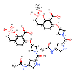 CC(=O)N[C@@H]1CN[C@H](C(=O)N2CC(Oc3ccc4c(c3C(=O)O)O[B-](O)(O)CC4)C2)C1.CC(=O)N[C@@H]1CN[C@H](C(=O)N2CC(Oc3ccc4c(c3C(=O)O)O[B-](O)(O)CC4)C2)C1.[Na+].[Na+]